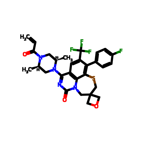 C=CC(=O)N1C[C@H](C)N(c2nc(=O)n3c4c(c(-c5ccc(F)cc5)c(C(F)(F)F)cc24)SCC2(COC2)C3)C[C@H]1C